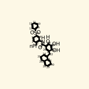 CCCc1ccc(S(=O)(=O)c2ccccc2)cc1NC(=O)c1cc(Cc2cccc3ccccc23)c(O)c(O)c1O